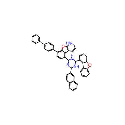 C1=Cc2c(oc3c(-c4ccc(-c5ccccc5)cc4)ccc(C4=NC(c5ccc6ccccc6c5)NC(c5cccc6oc7ccccc7c56)N4)c23)NC1